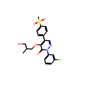 CC(CO)COc1c(-c2ccc(S(C)(=O)=O)cc2)cnn(-c2cccc(Cl)c2)c1=O